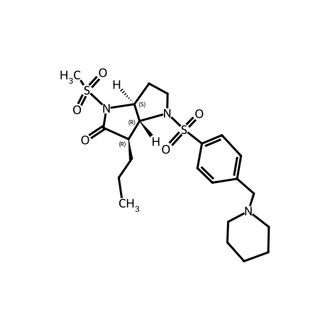 CCC[C@H]1C(=O)N(S(C)(=O)=O)[C@H]2CCN(S(=O)(=O)c3ccc(CN4CCCCC4)cc3)[C@H]12